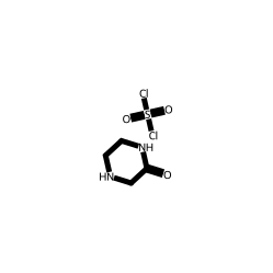 O=C1CNCCN1.O=S(=O)(Cl)Cl